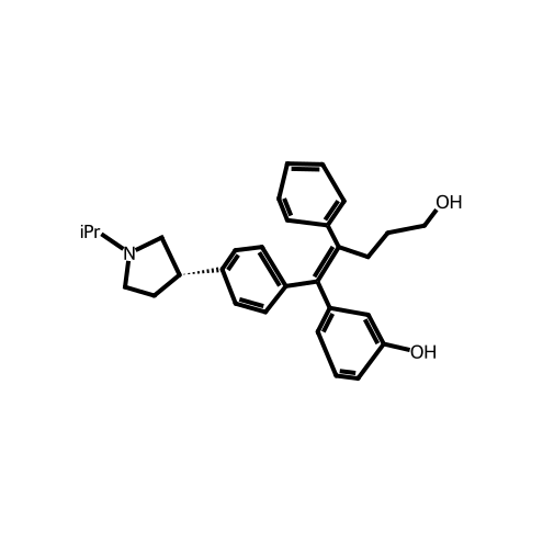 CC(C)N1CC[C@@H](c2ccc(/C(=C(/CCCO)c3ccccc3)c3cccc(O)c3)cc2)C1